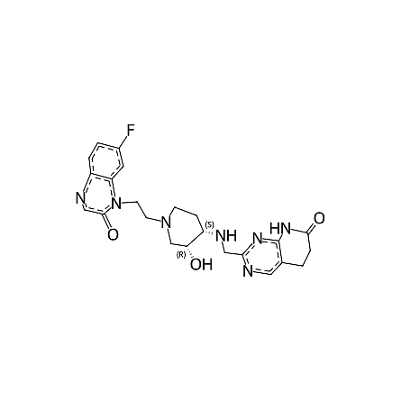 O=C1CCc2cnc(CN[C@H]3CCN(CCn4c(=O)cnc5ccc(F)cc54)C[C@H]3O)nc2N1